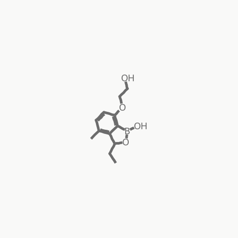 CCC1OB(O)c2c(OCCO)ccc(C)c21